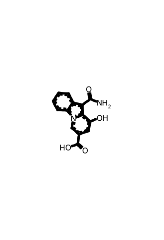 NC(=O)c1c2ccccc2n2cc(C(=O)O)cc(O)c12